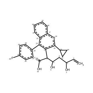 C=CC(O)CC(O)C(C(=O)O)c1c(C2CC2)nc2ccccc2c1-c1ccc(F)cc1